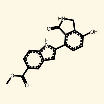 COC(=O)c1ccc2[nH]c(-c3ccc(O)c4c3C(=O)NC4)cc2c1